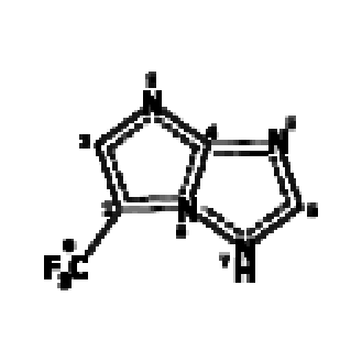 FC(F)(F)c1cnc2nc[nH]n12